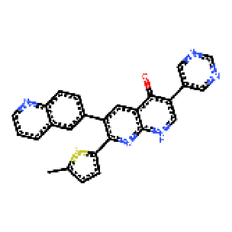 Cc1ccc(-c2nc3[nH]cc(-c4cncnc4)c(=O)c3cc2-c2ccc3ncccc3c2)s1